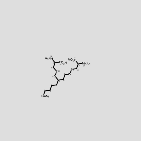 CSCCCCC(CCSSCC(NC(C)=O)C(=O)O)SSCC(NC(C)=O)C(=O)O